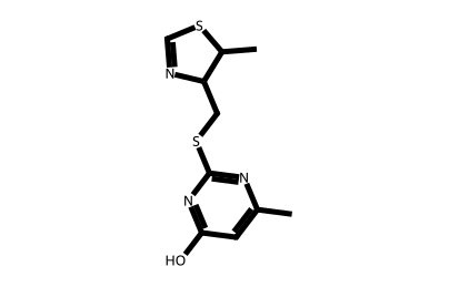 Cc1cc(O)nc(SCC2N=CSC2C)n1